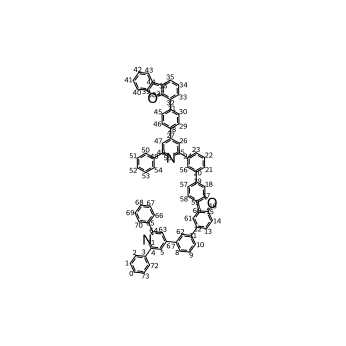 c1ccc(-c2cc(-c3cccc(-c4ccc5oc6cc(-c7cccc(-c8cc(-c9ccc(-c%10cccc%11c%10oc%10ccccc%10%11)cc9)cc(-c9ccccc9)n8)c7)ccc6c5c4)c3)cc(-c3ccccc3)n2)cc1